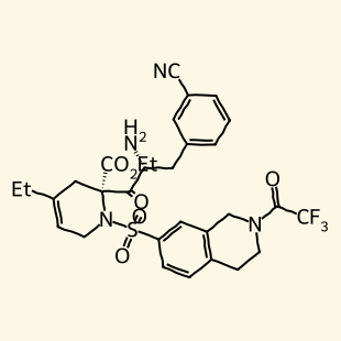 CCOC(=O)[C@@]1(C(=O)[C@H](N)Cc2cccc(C#N)c2)CC(CC)=CCN1S(=O)(=O)c1ccc2c(c1)CN(C(=O)C(F)(F)F)CC2